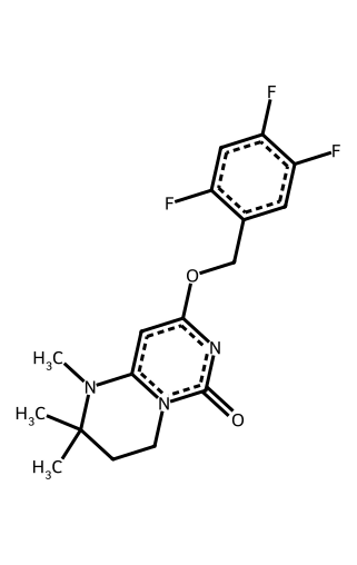 CN1c2cc(OCc3cc(F)c(F)cc3F)nc(=O)n2CCC1(C)C